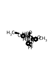 CC#CCOc1ccc(S(=O)(=O)N[C@@H](Cc2c(C)n(Cc3ccccc3C(F)(F)F)c3ccc(OC)cc23)C(=O)O)cc1